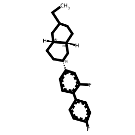 CCC1CC[C@@H]2C[C@H](c3ccc(-c4ccc(F)cc4)c(F)c3)CC[C@@H]2C1